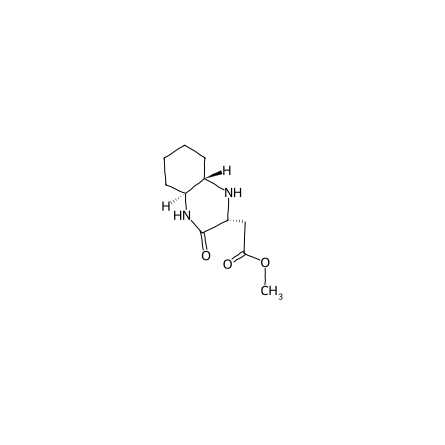 COC(=O)C[C@H]1N[C@H]2CCCC[C@@H]2NC1=O